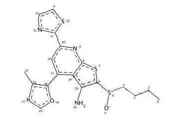 CCCC[S+]([O-])c1sc2nc(-c3nccs3)cc(-c3ocnc3C)c2c1N